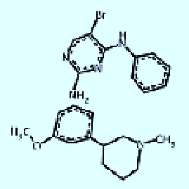 COc1cccc(C2CCCN(C)C2)c1.Nc1ncc(Br)c(Nc2ccccc2)n1